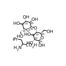 CC(C)CC(N)C(=O)O.OC[C@H]1O[C@H](O[C@H]2[C@H](O)[C@@H](O)[C@H](O)O[C@@H]2CO)[C@H](O)[C@@H](O)[C@@H]1O